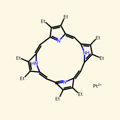 CCC1=C(CC)c2cc3[nH]c(cc4nc(cc5[nH]c(cc1n2)c(CC)c5CC)C(CC)=C4CC)c(CC)c3CC.[Pt+2]